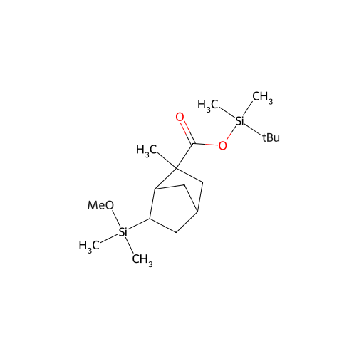 CO[Si](C)(C)C1CC2CC1C(C)(C(=O)O[Si](C)(C)C(C)(C)C)C2